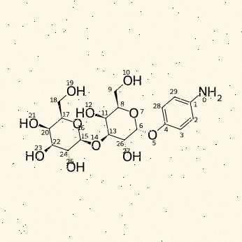 Nc1ccc(O[C@H]2O[C@H](CO)[C@H](O)[C@H](O[C@@H]3O[C@H](CO)[C@H](O)[C@H](O)[C@H]3O)[C@H]2O)cc1